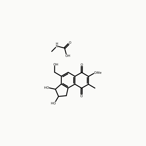 CNC(=O)O.COC1=C(C)C(=O)c2c(cc(CO)c3c2CC(O)C3O)C1=O